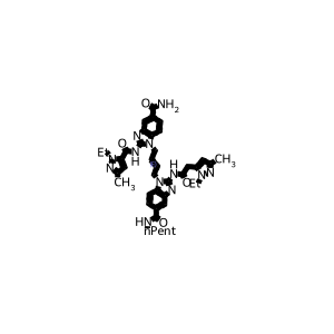 CCCCCNC(=O)c1ccc2c(c1)nc(NC(=O)Cc1cc(C)nn1CC)n2C/C=C/Cn1c(NC(=O)c2cc(C)nn2CC)nc2cc(C(N)=O)ccc21